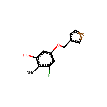 O=Cc1c(O)cc(OCc2ccsc2)cc1F